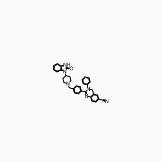 N#Cc1ccc2c(c1)CN(c1ccccc1)C(c1ccc(CN3CCC(n4c(=O)[nH]c5ccccc54)CC3)cc1)=N2